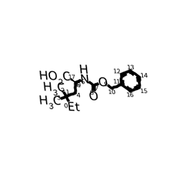 CCC(C)(C)C[C@H](NC(=O)OCc1ccccc1)C(=O)O